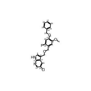 COc1cc(COCc2c[nH]c3ncc(Cl)cc23)c(F)cc1OCc1ccccc1